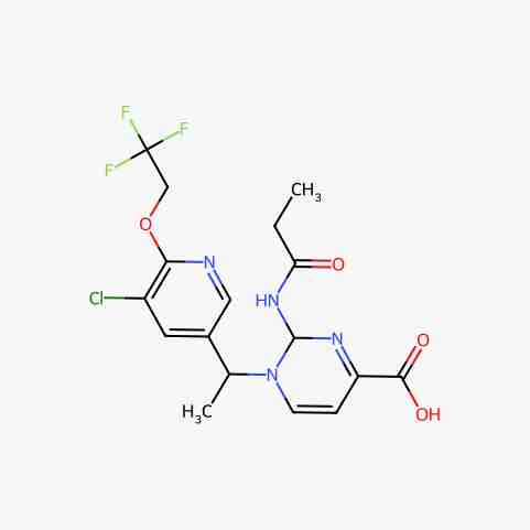 CCC(=O)NC1N=C(C(=O)O)C=CN1C(C)c1cnc(OCC(F)(F)F)c(Cl)c1